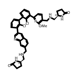 COc1nc(-c2cccc(-c3cccc(-c4cnc5cc(CNC[C@H]6CCC(=O)N6)ccc5c4)c3Cl)c2Cl)ccc1CNC[C@H]1CCC(=O)N1